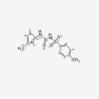 Cc1ccc(S(=O)(=O)NC(=O)Nc2nc(C)cs2)cc1